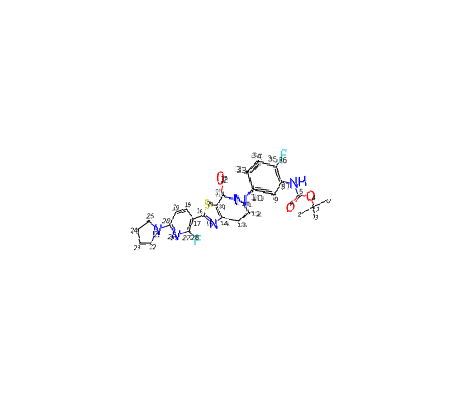 CC(C)(C)OC(=O)Nc1cc(N2CCc3nc(-c4ccc(N5CCCC5)nc4F)sc3C2=O)ccc1F